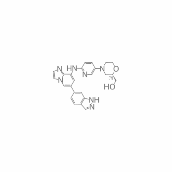 OC[C@H]1CN(c2ccc(Nc3cc(-c4ccc5cn[nH]c5c4)cn4ccnc34)nc2)CCO1